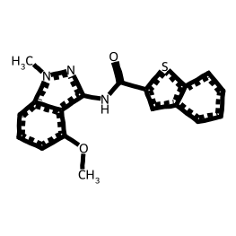 COc1cccc2c1c(NC(=O)c1cc3ccccc3s1)nn2C